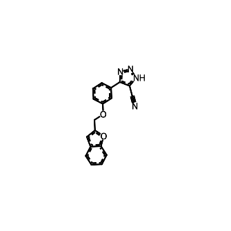 N#Cc1[nH]nnc1-c1cccc(OCc2cc3ccccc3o2)c1